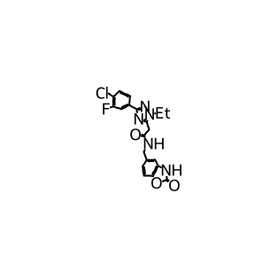 CCn1nc(-c2ccc(Cl)c(F)c2)nc1CC(=O)NCc1ccc2oc(=O)[nH]c2c1